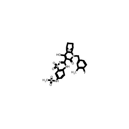 Cc1cc(CN2C(=O)C(C3=NS(=O)(=O)c4cc(NS(C)(=O)=O)ccc4N3)=C(O)C3C4CCC(O4)C32)ccc1F